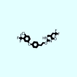 O=c1nc(OCCc2ccc(Oc3ccc(Cl)c(C(F)(F)F)c3)cc2)[nH]cc1CC(F)(F)F